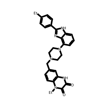 CCc1ccc(-c2nc3c(N4CCN(Cc5ccc6c(c5)[nH]c(=O)c(=O)n6CC)CC4)cccc3[nH]2)cc1